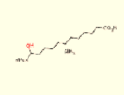 CCCCCCC(O)CCCCCCCCCCC(=O)O.[AlH3]